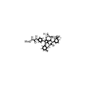 COCCN(C)Cc1c(-c2ccc(NC(=O)NOC)cc2)sc2c1c(=O)n(-c1cccc(C)n1)c(=O)n2Cc1c(F)cccc1F